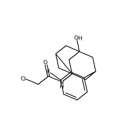 O=C(CCl)NC12CC3CC(O)(CC(C1)c1c(F)cccc13)C2